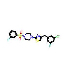 O=S(=O)(c1cccc(F)c1)N1CCN(c2nc(Cc3cc(F)cc(Cl)c3)cs2)CC1